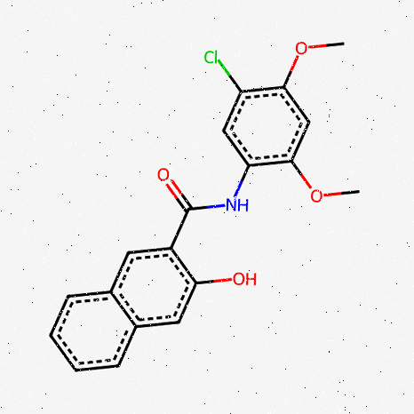 COc1cc(OC)c(NC(=O)c2cc3ccccc3cc2O)cc1Cl